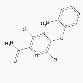 CCc1nc(C(N)=O)c(Cl)nc1Oc1ccccc1[N+](=O)[O-]